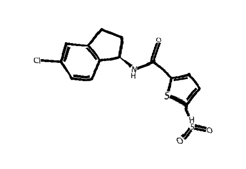 O=C(N[C@@H]1CCc2cc(Cl)ccc21)c1ccc([SH](=O)=O)s1